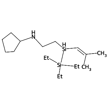 CC[Si](CC)(CC)[SiH](C=C(C)C)CCNC1CCCC1